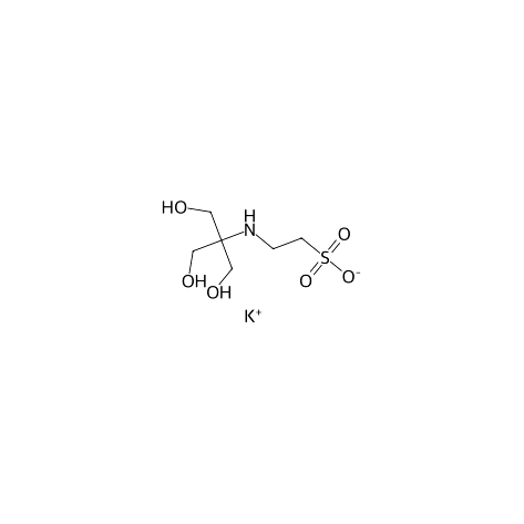 O=S(=O)([O-])CCNC(CO)(CO)CO.[K+]